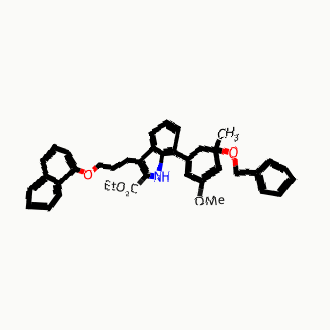 CCOC(=O)c1[nH]c2c(C3=CC(OC)=CC(C)(OCc4ccccc4)C3)cccc2c1CCCOc1cccc2ccccc12